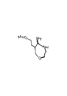 COCCC1COCCNC1=N